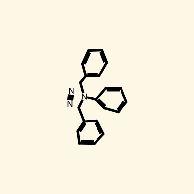 N#N.c1ccc(CN(Cc2ccccc2)c2ccccc2)cc1